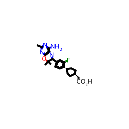 Cc1nc(N)c2c(n1)OC(C)(C)C(c1ccc([C@H]3CC[C@H](CC(=O)O)CC3)c(F)c1)=N2